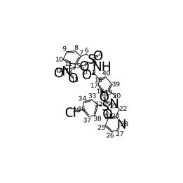 O=C(NS(=O)(=O)Cc1cccc([N+](=O)[O-])c1)c1ccc(CN(Cc2ccccn2)S(=O)(=O)c2ccc(Cl)cc2)cc1